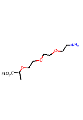 CCOC(=O)[C@H](C)OCCOCCOCCN